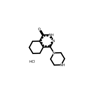 Cl.O=c1[nH]nc(N2CCNCC2)c2c1CCCC2